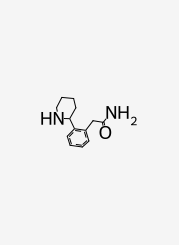 NC(=O)Cc1ccccc1C1CCCCN1